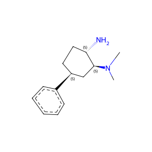 CN(C)[C@H]1C[C@@H](c2ccccc2)CC[C@@H]1N